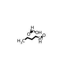 CCC[CH2][SnH]=[O].[O]=[SnH][OH]